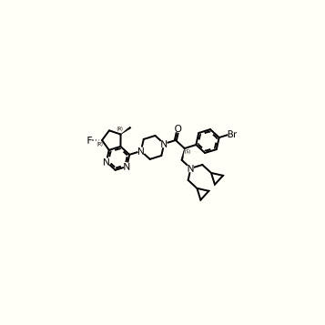 C[C@@H]1C[C@@H](F)c2ncnc(N3CCN(C(=O)[C@H](CN(CC4CC4)CC4CC4)c4ccc(Br)cc4)CC3)c21